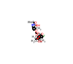 C=C[C@]1(C)C[C@@H](OC(=O)COc2ccc3c(c2C)B(O)N(C(=O)OC)N=C3)[C@]2(C)[C@H](C)CC[C@]3(C[C@H](F)C(=O)[C@H]32)[C@@H](C)[C@@H]1O